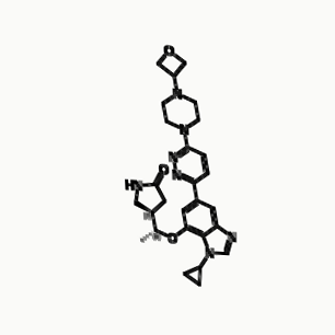 C[C@@H](Oc1cc(-c2ccc(N3CCN(C4COC4)CC3)nn2)cc2ncn(C3CC3)c12)[C@H]1CNC(=O)C1